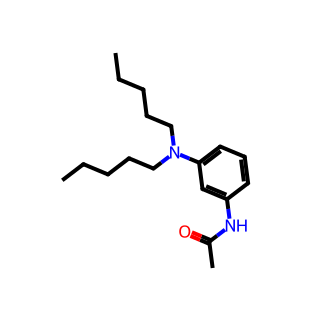 CCCCCN(CCCCC)c1cccc(NC(C)=O)c1